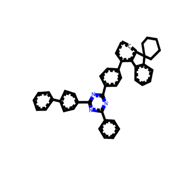 c1ccc(-c2ccc(-c3nc(-c4ccccc4)nc(-c4ccc(-c5cccc6c5-c5ccccc5C65CCCCC5)cc4)n3)cc2)cc1